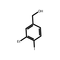 CCc1cc(CO)ccc1I